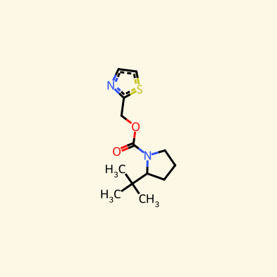 CC(C)(C)C1CCCN1C(=O)OCc1nccs1